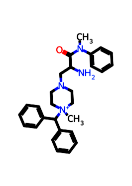 CN(C(=O)C(N)CN1CC[N+](C)(C(c2ccccc2)c2ccccc2)CC1)c1ccccc1